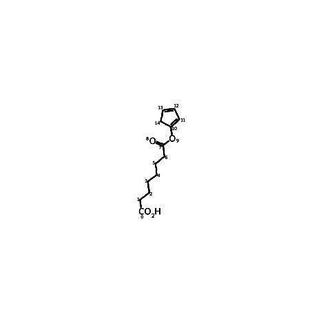 O=C(O)CCCCCCC(=O)OC1=CC=CC1